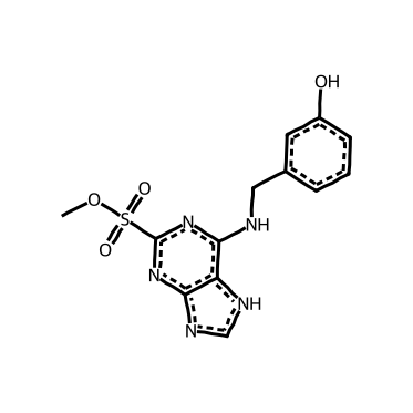 COS(=O)(=O)c1nc(NCc2cccc(O)c2)c2[nH]cnc2n1